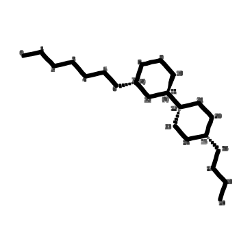 CCCCCCC[C@@H]1CCC[C@@H]([C@H]2CC[C@@H](CCCC)CC2)C1